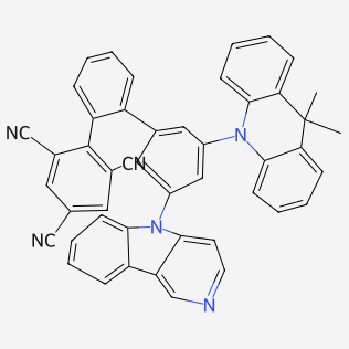 CC1(C)c2ccccc2N(c2cc(-c3ccccc3-c3c(C#N)cc(C#N)cc3C#N)cc(-n3c4ccccc4c4cnccc43)c2)c2ccccc21